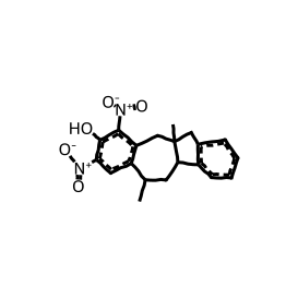 CC1CC2c3ccccc3CC2(C)Cc2c1cc([N+](=O)[O-])c(O)c2[N+](=O)[O-]